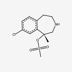 C[C@]1(OS(C)(=O)=O)CNCCc2ccc(Cl)cc21